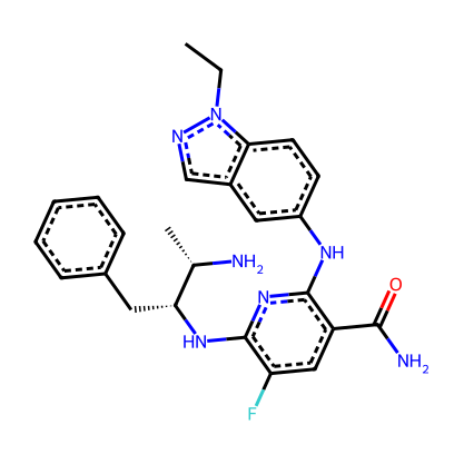 CCn1ncc2cc(Nc3nc(N[C@H](Cc4ccccc4)[C@H](C)N)c(F)cc3C(N)=O)ccc21